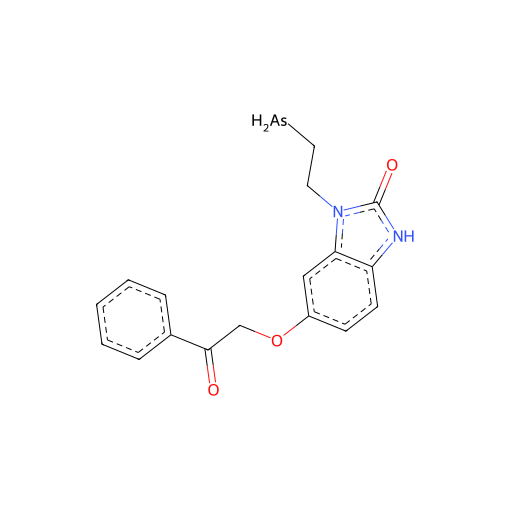 O=C(COc1ccc2[nH]c(=O)n(CC[AsH2])c2c1)c1ccccc1